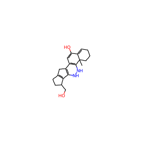 CC12CCCC=C1C(O)=CC1=C2NNC2=C1CC1=C2C(CO)CC1